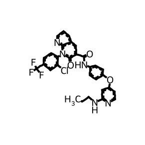 CCCNc1cc(Oc2ccc(NC(=O)c3cc4cccnc4n(-c4ccc(C(F)(F)F)cc4Cl)c3=O)cc2)ccn1